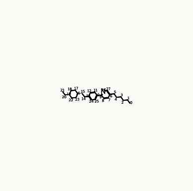 CCCCCCc1ccc(-c2ccc(CC[C@H]3CC[C@H](CC)CC3)cc2)nc1